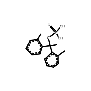 Cc1ccccc1C(C)(OP(=O)(O)O)c1ccccc1C